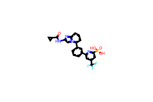 O=C(Nc1cn2c(-c3cccc(-c4cc(C(F)(F)F)cc(P(=O)(O)O)n4)c3)cccc2n1)C1CC1